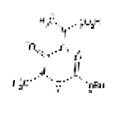 CCCCC(=O)OC(C)C(=O)OC(C)C(=O)O